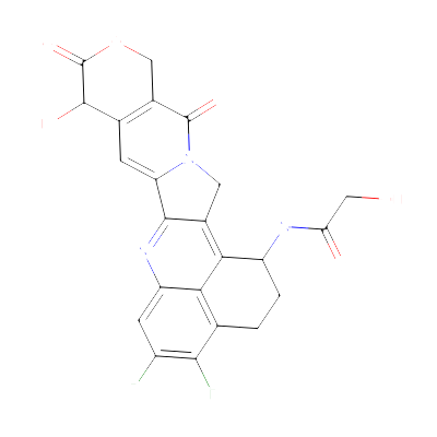 O=C(CO)NC1CCc2c(F)c(F)cc3nc4c(c1c23)Cn1c-4cc2c(c1=O)COC(=O)C2O